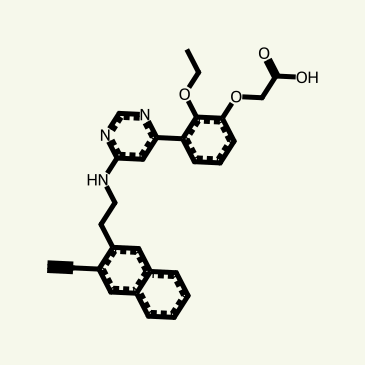 C#Cc1cc2ccccc2cc1CCNc1cc(-c2cccc(OCC(=O)O)c2OCC)ncn1